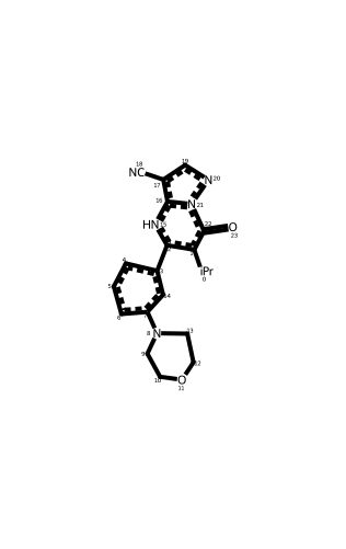 CC(C)c1c(-c2cccc(N3CCOCC3)c2)[nH]c2c(C#N)cnn2c1=O